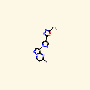 Cc1nnc(-c2cnn(-c3cnn4ccc(I)nc34)c2)o1